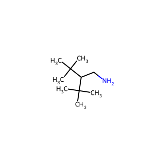 CC(C)(C)C(CN)C(C)(C)C